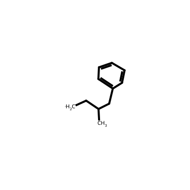 [CH2]CC(C)Cc1ccccc1